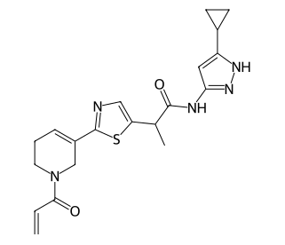 C=CC(=O)N1CCC=C(c2ncc(C(C)C(=O)Nc3cc(C4CC4)[nH]n3)s2)C1